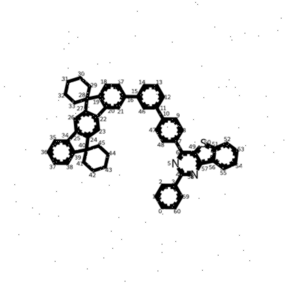 c1ccc(-c2nc(-c3ccc(-c4cccc(-c5ccc6c(c5)-c5cc7c(cc5C65CCCCC5)-c5ccccc5C75CCCCC5)c4)cc3)c3sc4ccccc4c3n2)cc1